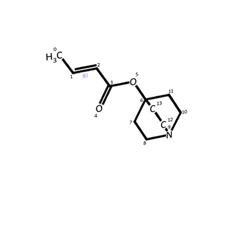 C/C=C/C(=O)OC12CCN(CC1)CC2